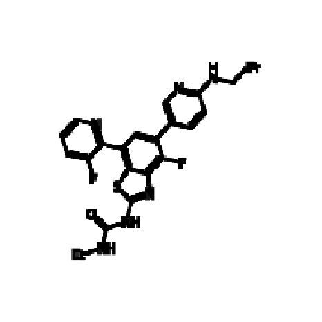 CCNC(=O)Nc1nc2c(F)c(-c3ccc(NCC(C)C)nc3)cc(-c3ncccc3F)c2s1